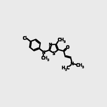 Cc1nc(N(C)c2ccc(Cl)cc2)sc1C(=O)C=CN(C)C